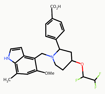 COc1cc(C)c2[nH]ccc2c1CN1CCC(OC(F)C(F)F)CC1c1ccc(C(=O)O)cc1